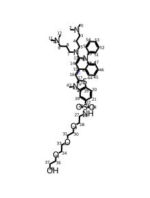 CN(C)CCCN(CCCN(C)C)C1=C/C(=C/c2sc3ccc(S(=O)(=O)NCCOCCOCCOCCO)cc3[n+]2C)c2ccccc2N1c1ccccc1